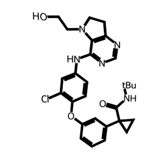 CC(C)(C)NC(=O)C1(c2cccc(Oc3ccc(Nc4ncnc5c4N(CCO)CC5)cc3Cl)c2)CC1